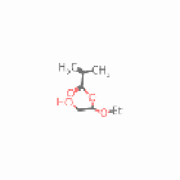 C=C(C)C(=O)OC(CO)OCC